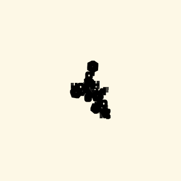 Cc1csc([C@H]2CCCN2C(=O)c2cc(CF)cc(C(=O)N[C@H](Cc3ccccc3)[C@@H](O)[C@H]3C[C@@H](OCc4ccccc4)CN3)c2)n1